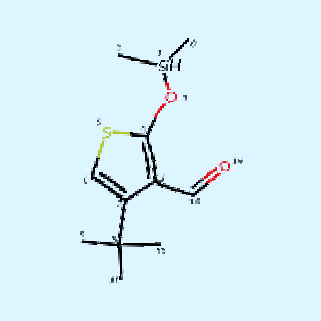 C[SiH](C)Oc1scc(C(C)(C)C)c1C=O